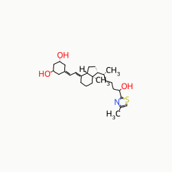 Cc1csc([C@H](O)CCC[C@@H](C)[C@H]2CC[C@H]3/C(=C/C=C4C[C@@H](O)C[C@H](O)C4)CCC[C@]23C)n1